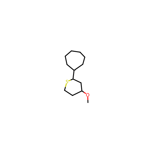 COC1CCSC([C]2CCCCCC2)C1